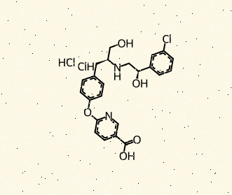 Cl.Cl.O=C(O)c1ccc(Oc2ccc(C[C@@H](CO)NC[C@H](O)c3cccc(Cl)c3)cc2)nc1